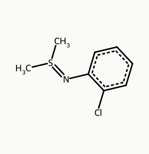 CS(C)=Nc1ccccc1Cl